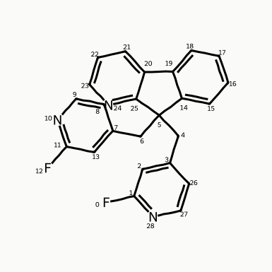 Fc1cc(CC2(Cc3ccnc(F)c3)c3ccccc3-c3cccnc32)ccn1